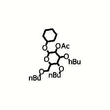 CCCCOCC1OC(OC2CCCCC2)C(OC(C)=O)C(OCCCC)C1OCCCC